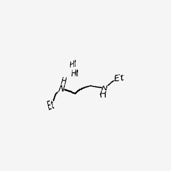 CCNCCNCC.I.I